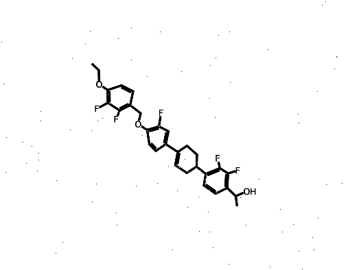 CCOc1ccc(COc2ccc(C3=CCC(c4ccc(C(C)O)c(F)c4F)CC3)cc2F)c(F)c1F